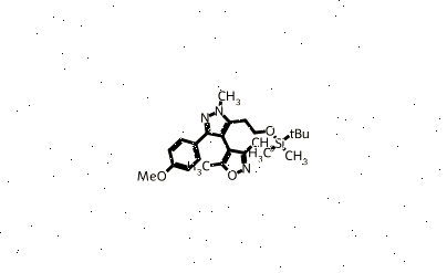 COc1ccc(-c2nn(C)c(CCO[Si](C)(C)C(C)(C)C)c2-c2c(C)noc2C)cc1